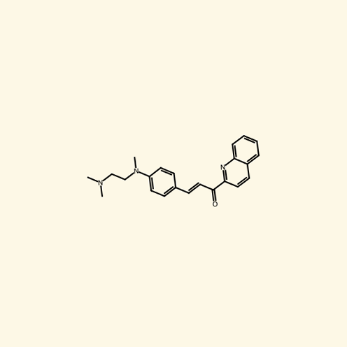 CN(C)CCN(C)c1ccc(/C=C/C(=O)c2ccc3ccccc3n2)cc1